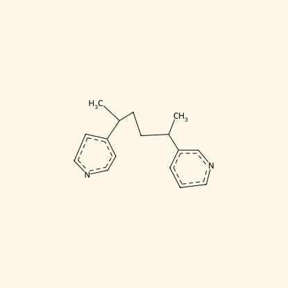 CC(CCC(C)c1cccnc1)c1ccncc1